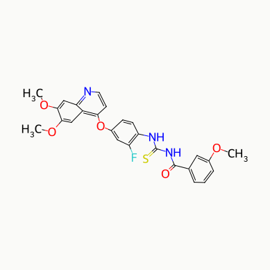 COc1cccc(C(=O)NC(=S)Nc2ccc(Oc3ccnc4cc(OC)c(OC)cc34)cc2F)c1